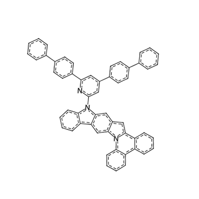 c1ccc(-c2ccc(-c3cc(-c4ccc(-c5ccccc5)cc4)nc(-n4c5ccccc5c5cc6c(cc54)cc4c5ccccc5c5ccccc5n64)c3)cc2)cc1